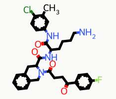 Cc1cc(NC(=O)C(CCCCN)NC(=O)C2Cc3ccccc3CN2C(=O)CCC(=O)c2ccc(F)cc2)ccc1Cl